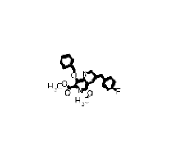 COC(=O)c1nc(OC)c2cc(Cc3ccc(F)cc3)cnc2c1OCc1ccccc1